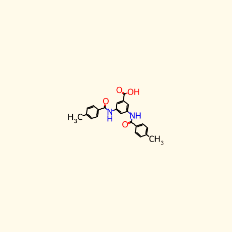 Cc1ccc(C(=O)Nc2cc(NC(=O)c3ccc(C)cc3)cc(C(=O)O)c2)cc1